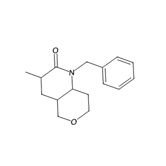 CC1CC2COCCC2N(Cc2ccccc2)C1=O